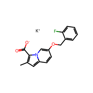 Cc1cc2ccc(OCc3ccccc3F)cn2c1C(=O)[O-].[K+]